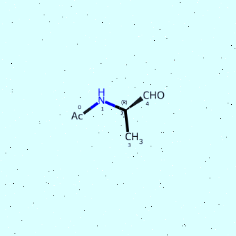 CC(=O)N[C@H](C)C=O